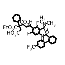 CCOC(=O)C(CCC(C(=O)O)c1c(F)cc(NC(=O)c2ccccc2-c2ccc(C(F)(F)F)cc2)c(C(=O)N(C)C)c1F)(CC(=O)O)c1ccccc1